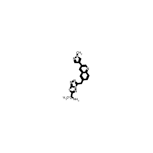 C[C@@H](N)c1nn2c(Cc3ccc4ncc(-c5cnn(C)c5)cc4c3)nnc2s1